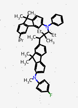 CCC(N(c1ccccc1)c1ccc2c(c1)-c1cc(C(C)C)ccc1C2(C)C)C(C)(CC)C(C)c1ccc2c(c1)C(C)(C)c1cc(N(C)c3ccc(F)cc3)ccc1-2